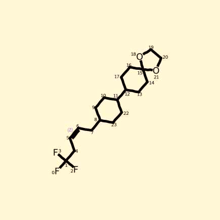 FC(F)(F)C/C=C\CC1CCC(C2CCC3(CC2)OCCO3)CC1